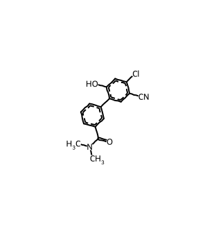 CN(C)C(=O)c1cccc(-c2cc(C#N)c(Cl)cc2O)c1